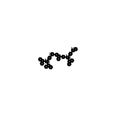 c1ccc2ncc(-c3ccc(-c4nc(-c5ccc(-c6cc7ccc(-c8ccnc(-c9ccc(-c%10nc(-c%11cc%12ccccc%12c%12ccccc%11%12)cc(-c%11cc%12ccccc%12c%12ccccc%11%12)n%10)cc9)c8)cc7c7ccccc67)cc5)cc(-c5cc6ccccc6c6ccccc56)n4)cc3)cc2c1